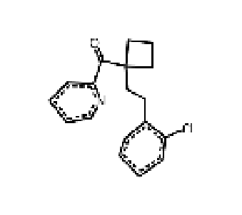 O=C(c1ccccn1)C1(CCc2ccccc2Cl)CCC1